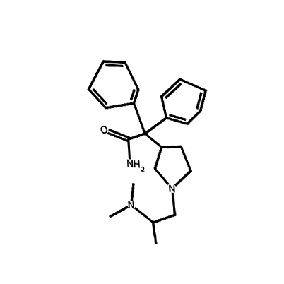 CC(CN1CCC(C(C(N)=O)(c2ccccc2)c2ccccc2)C1)N(C)C